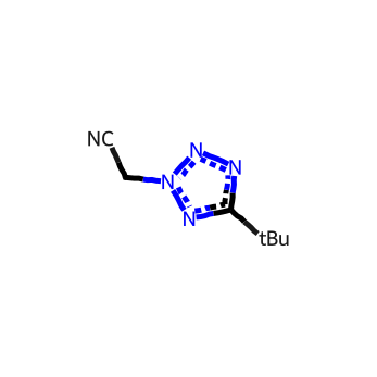 CC(C)(C)c1nnn(CC#N)n1